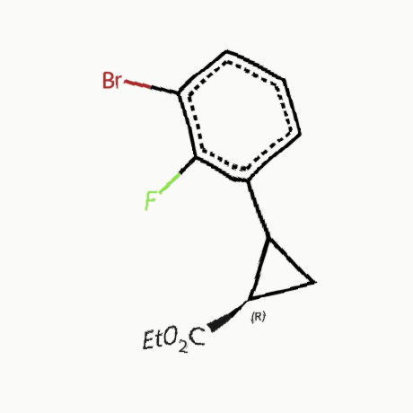 CCOC(=O)[C@@H]1CC1c1cccc(Br)c1F